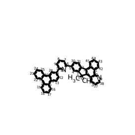 CC1(C)c2cc(-c3cccc(-c4ccc5c6ccccc6c6ccccc6c5c4)n3)ccc2-c2c1c1cccnc1c1ccccc21